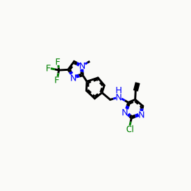 C#Cc1cnc(Cl)nc1NCc1ccc(-c2nc(C(F)(F)F)cn2C)cc1